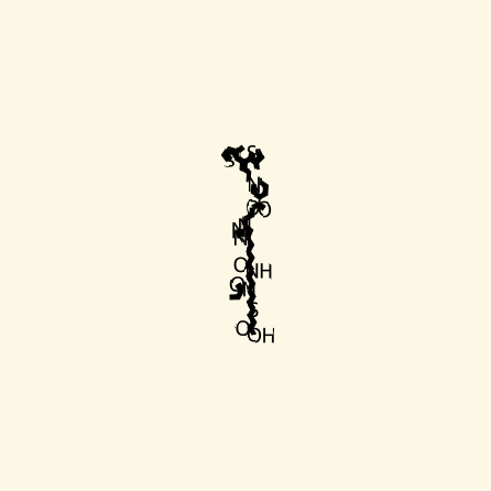 CCC(=O)N(CCNC(=O)CCCc1cn(CCOC(=O)[C@@H]2CCCN(CCC=C(c3sccc3C)c3sccc3C)C2)nn1)CCSCCC(=O)O